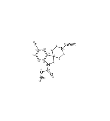 CCCCCN1CCC2(CC1)CN(C(=O)OC(C)(C)C)c1ccc(F)cc12